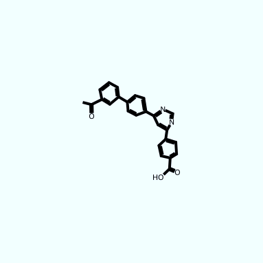 CC(=O)c1cccc(-c2ccc(-c3cc(-c4ccc(C(=O)O)cc4)ncn3)cc2)c1